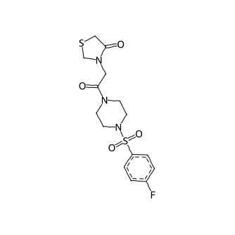 O=C(CN1CSCC1=O)N1CCN(S(=O)(=O)c2ccc(F)cc2)CC1